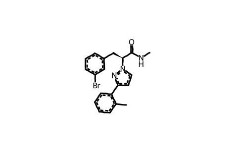 CNC(=O)[C@H](Cc1cccc(Br)c1)n1ccc(-c2ccccc2C)n1